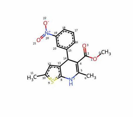 COC(=O)C1=C(C)Nc2sc(C)cc2C1c1cccc([N+](=O)[O-])c1